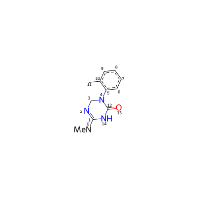 CNC1=NCN(c2ccccc2C)C(=O)N1